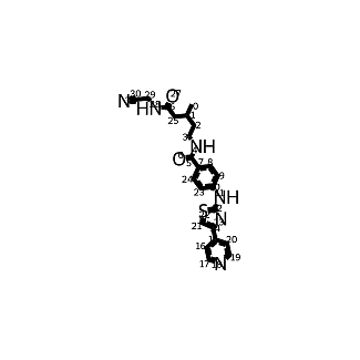 CC(CCNC(=O)c1ccc(Nc2nc(-c3ccncc3)cs2)cc1)CC(=O)NCC#N